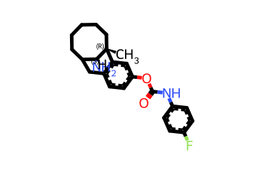 C[C@@]12CCCCCC(Cc3ccc(OC(=O)Nc4ccc(F)cc4)cc31)[C@@H]2N